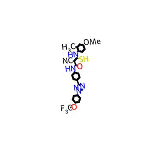 COc1ccc(N/C(S)=C(\C#N)C(=O)Nc2ccc(-c3ncn(-c4ccc(OC(F)(F)F)cc4)n3)cc2)c(C)c1